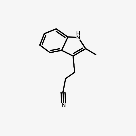 Cc1[nH]c2ccccc2c1CCC#N